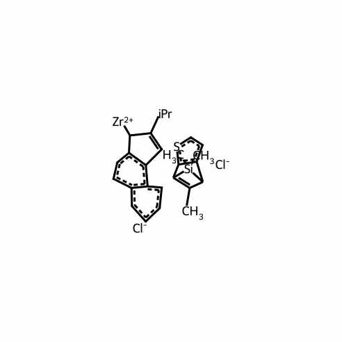 CC(C)C1=Cc2c(ccc3ccccc23)[CH]1[Zr+2].CC1=C2c3sccc3C1[Si]2(C)C.[Cl-].[Cl-]